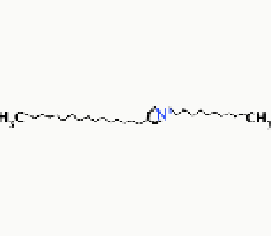 CCCCCCCCCCCCCCCCCc1cc[n+](CCCCCCCCCCCC)cc1